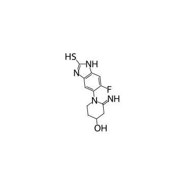 N=C1CC(O)CCN1c1cc2nc(S)[nH]c2cc1F